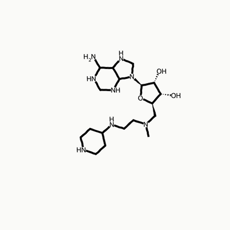 CN(CCNC1CCNCC1)C[C@H]1O[C@@H](N2CNC3C(N)NCNC32)[C@H](O)[C@@H]1O